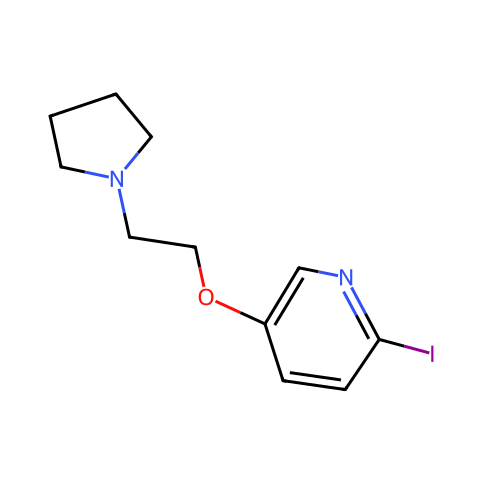 Ic1ccc(OCCN2CCCC2)cn1